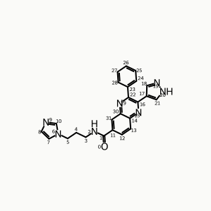 O=C(NCCCn1ccnc1)c1ccc2nc(-c3cn[nH]c3)c(-c3ccccc3)nc2c1